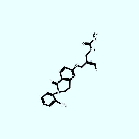 Cc1ccccc1N1CCc2cc(OC/C(=C\F)CNC(=O)OC(C)(C)C)ccc2C1=O